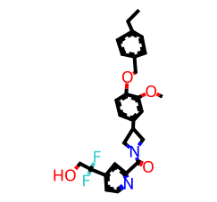 CCc1ccc(COc2ccc(C3CN(C(=O)c4cc(C(F)(F)CO)ccn4)C3)cc2OC)cc1